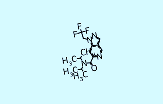 CC(C)N(C(=O)c1cc2c(cn1)cnn2CC(F)(F)F)C(C)C